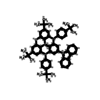 CC(C)(C)c1ccc(N2c3cc(C(C)(C)C)cc4c3P3(=S)c5c(cc(C(C)(C)C)cc5N(c5ccc(C(C)(C)C)cc5)c5cc(-n6c7ccccc7c7ccccc76)cc2c53)O4)cc1